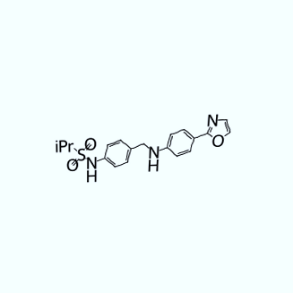 CC(C)S(=O)(=O)Nc1ccc(CNc2ccc(-c3ncco3)cc2)cc1